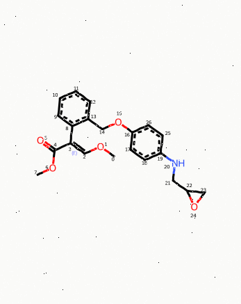 CO/C=C(/C(=O)OC)c1ccccc1COc1ccc(NCC2CO2)cc1